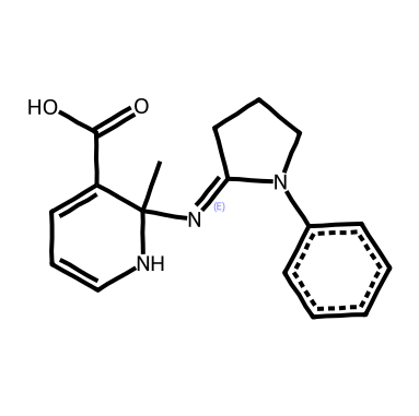 CC1(/N=C2\CCCN2c2ccccc2)NC=CC=C1C(=O)O